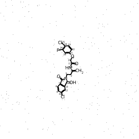 C=C(CCN1C(=O)c2ccc(Cl)cc2[C@@H]1O)NC(=O)COc1ccc(Cl)c(F)c1